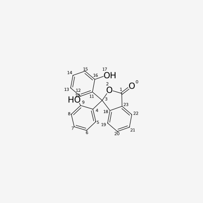 O=C1OC(c2ccccc2O)(c2ccccc2O)c2ccccc21